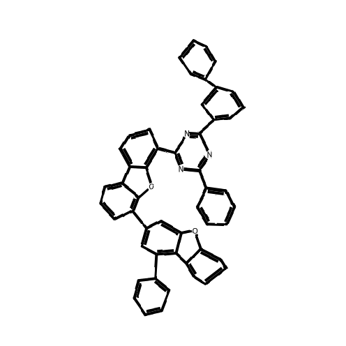 c1ccc(-c2cccc(-c3nc(-c4ccccc4)nc(-c4cccc5c4oc4c(-c6cc(-c7ccccc7)c7c(c6)oc6ccccc67)cccc45)n3)c2)cc1